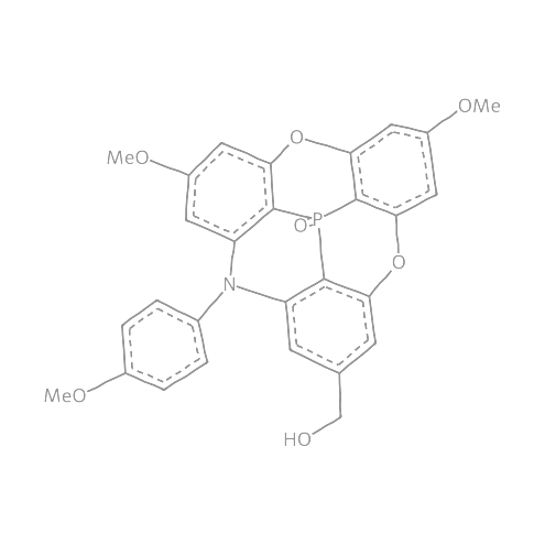 COc1ccc(N2c3cc(CO)cc4c3P3(=O)c5c(cc(OC)cc5Oc5cc(OC)cc2c53)O4)cc1